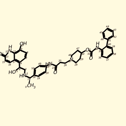 C[C@@H](NCC(O)c1ccc(O)c2[nH]c(=O)ccc12)c1ccc(NC(=O)CCN2CCC(OC(=O)Nc3ccccc3-c3ccccc3)CC2)cc1